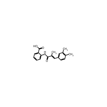 C/C(=C\c1ccc(C)c(C)c1)C(=O)Nc1ccccc1C(=O)O